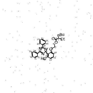 CCCCC(CC)C(=O)OCCOc1cccc(O)c1-c1nc(-c2ccccc2)nc(-c2ccccc2)n1